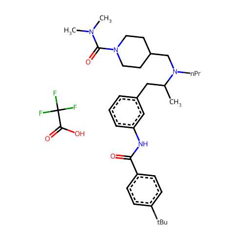 CCCN(CC1CCN(C(=O)N(C)C)CC1)C(C)Cc1cccc(NC(=O)c2ccc(C(C)(C)C)cc2)c1.O=C(O)C(F)(F)F